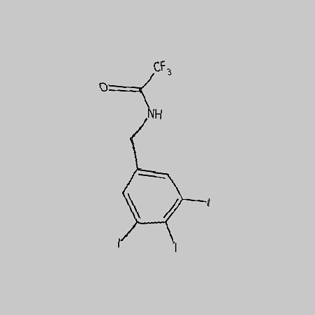 O=C(NCc1cc(I)c(I)c(I)c1)C(F)(F)F